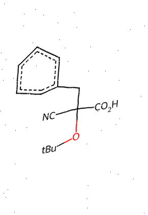 CC(C)(C)OC(C#N)(Cc1ccccc1)C(=O)O